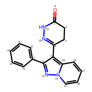 O=C1CCC(c2c(-c3ccccc3)nn3ccccc23)=NN1